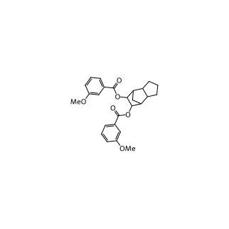 COc1cccc(C(=O)OC2C3CC(C4CCCC43)C2OC(=O)c2cccc(OC)c2)c1